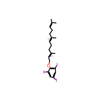 CC(C)=CCC/C(C)=C/CC/C(C)=C/COc1c(I)cc(I)cc1I